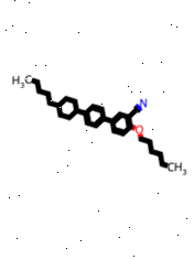 CCCCCCOc1ccc(-c2ccc(C3CCC(CCCCC)CC3)cc2)cc1C#N